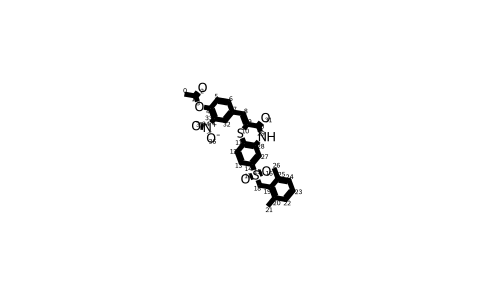 CC(=O)Oc1ccc(/C=C2\Sc3ccc(S(=O)(=O)Cc4c(C)cccc4C)cc3NC2=O)cc1[N+](=O)[O-]